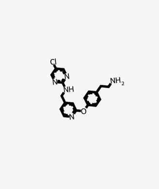 NCCc1ccc(Oc2cc(CNc3ncc(Cl)cn3)ccn2)cc1